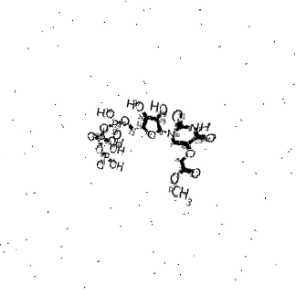 COC(=O)COc1cn([C@@H]2O[C@H](COP(=O)(O)OP(=O)(O)OP(=O)(O)O)C(O)C2O)c(=O)[nH]c1=O